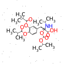 CC(C)N[C@@](Cc1ccc(OC(=O)C(C)C)c(OC(=O)C(C)C)c1)(OC(=O)OC(C)C)C(=O)O